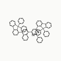 c1ccc(-c2nc(-c3cccc4c3C(c3ccccc3)(c3ccccc3)c3ccccc3-4)cc(-c3ccc(-c4cccc5c4C(c4ccccc4)(c4ccccc4)c4ccccc4-5)c4ccccc34)n2)cc1